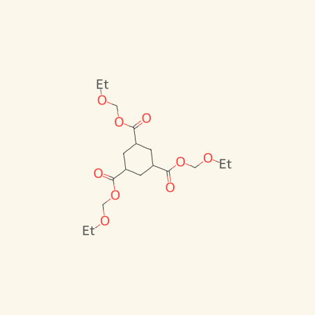 CCOCOC(=O)C1CC(C(=O)OCOCC)CC(C(=O)OCOCC)C1